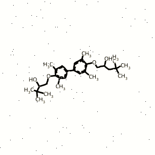 Cc1cc(-c2cc(C)c(OCC(O)C(C)(C)C)c(C)c2)cc(C)c1OCC(O)CC(C)(C)C